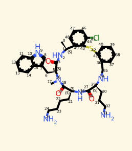 C[C@@H]1NC(=O)[C@H](Cc2c[nH]c3ccccc23)N(C)C(=O)[C@H](CCCCN)NC(=O)[C@H](CCCN)NCc2ccccc2Sc2c(Cl)cccc21